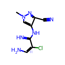 Cn1cc(NC(=N)/C(Cl)=C\N)c(C#N)n1